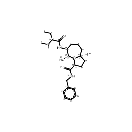 CC[C@H](NC)C(=O)N[C@H]1CCC[C@H]2CC[C@@H](C(=O)NCc3ccccc3)N2[C@@H]1O